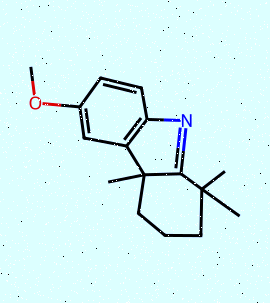 COc1ccc2c(c1)C1(C)CCCC(C)(C)C1=N2